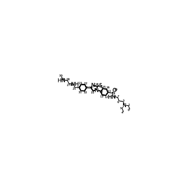 CCN(CC)CCCNC(=O)c1ccc2c(c1)sc1nc(-c3ccc(CNCCNC)cc3)cn12